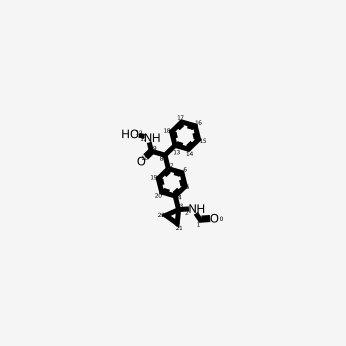 O=CNC1(c2ccc(C(C(=O)NO)c3ccccc3)cc2)CC1